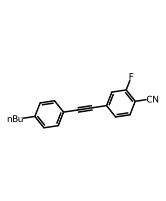 CCCCc1ccc(C#Cc2ccc(C#N)c(F)c2)cc1